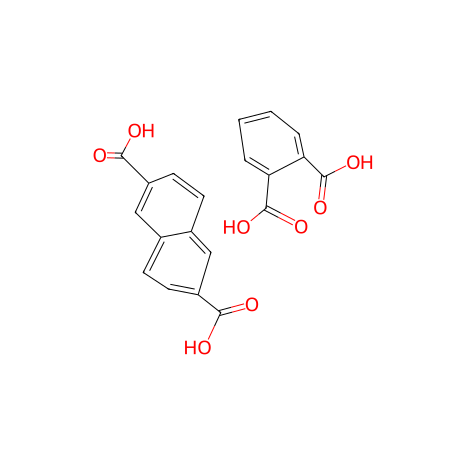 O=C(O)c1ccc2cc(C(=O)O)ccc2c1.O=C(O)c1ccccc1C(=O)O